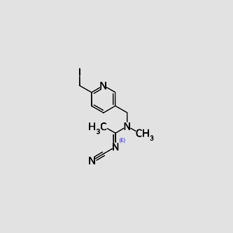 C/C(=N\C#N)N(C)Cc1ccc(CI)nc1